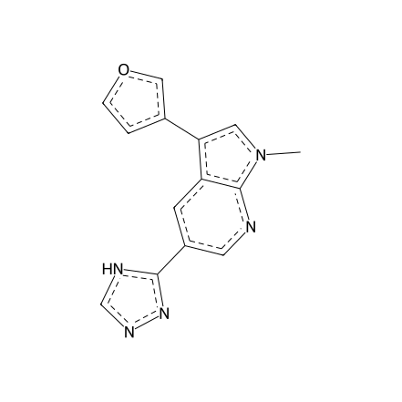 Cn1cc(-c2ccoc2)c2cc(-c3nnc[nH]3)cnc21